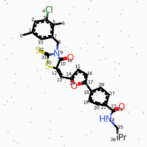 Cc1cc(Cl)c(C)c(CN2C(=O)/C(=C\c3ccc(-c4ccc(C(=O)NCC(C)C)cc4)o3)SC2=S)c1